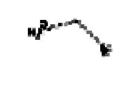 CC(=O)CCCCCCC/C=C\CCCCCCCC=[N+]=[N-]